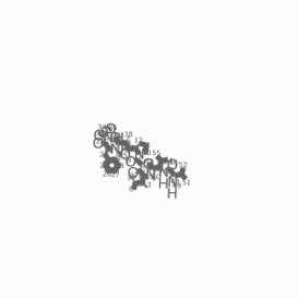 CC[C@H](C)[C@@H]([C@@H](CC(=O)N1CCC[C@H]1[C@H](OC)[C@@H](C)C(=O)N[C@@H](Cc1ccccc1)C(=O)NS(C)(=O)=O)OC)N(C)C(=O)[C@@H](NC(=O)C(NC)C(C)C)C(C)C